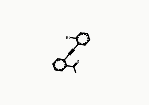 CCc1ccccc1C#Cc1ccccc1C(C)=S